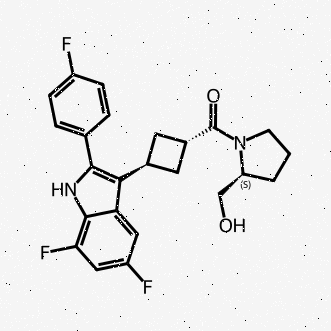 O=C([C@H]1C[C@H](c2c(-c3ccc(F)cc3)[nH]c3c(F)cc(F)cc32)C1)N1CCC[C@H]1CO